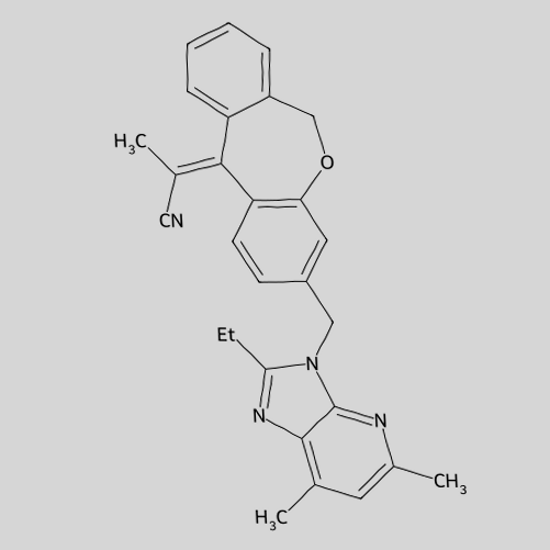 CCc1nc2c(C)cc(C)nc2n1Cc1ccc2c(c1)OCc1ccccc1/C2=C(\C)C#N